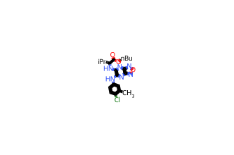 CCCCOC(=O)C(Nc1nc2nonc2nc1Nc1ccc(Cl)c(C)c1)C(C)C